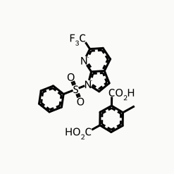 Cc1ccc(C(=O)O)cc1C(=O)O.O=S(=O)(c1ccccc1)n1ccc2ccc(C(F)(F)F)nc21